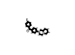 O=C(c1ccc(F)cc1)c1ccc(N2CCN3CCCCC3C2)cc1